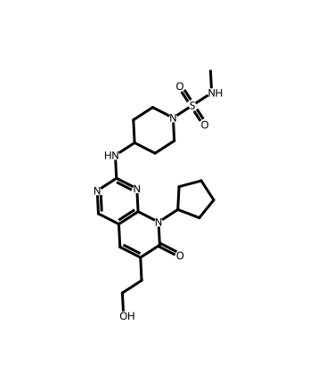 CNS(=O)(=O)N1CCC(Nc2ncc3cc(CCO)c(=O)n(C4CCCC4)c3n2)CC1